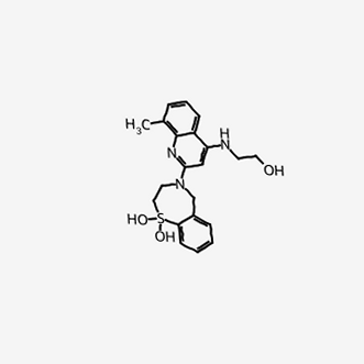 Cc1cccc2c(NCCO)cc(N3CCS(O)(O)c4ccccc4C3)nc12